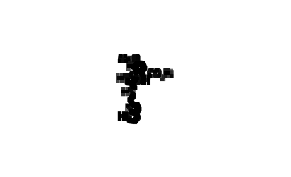 CCOC(=O)C[C@H](NC(=O)/C(C=N)=C/NCCc1ccc2c(n1)NCCC2)c1ccc(OC)c(F)c1